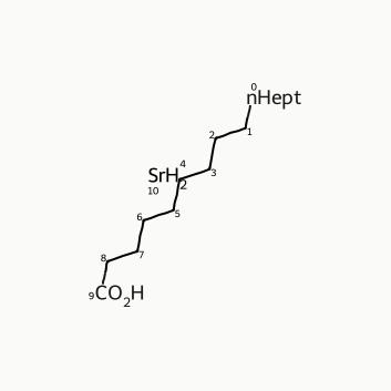 CCCCCCCCCCCCCCCC(=O)O.[SrH2]